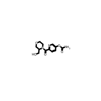 NC(=O)Oc1ccc(C(=O)N2CCOCC2CO)nc1